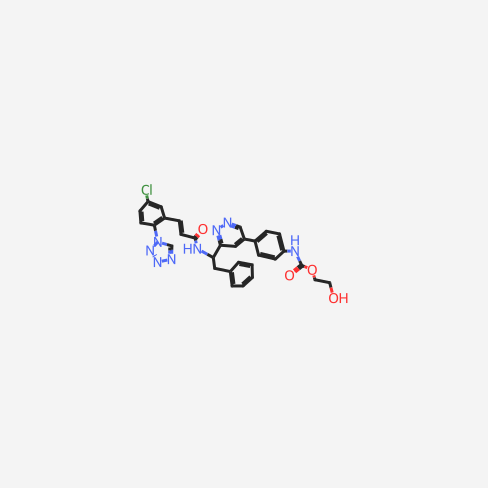 O=C(C=Cc1cc(Cl)ccc1-n1cnnn1)NC(Cc1ccccc1)c1cc(-c2ccc(NC(=O)OCCO)cc2)cnn1